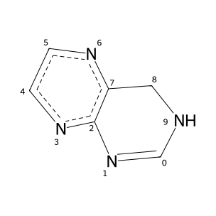 C1=Nc2nccnc2CN1